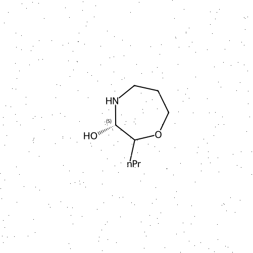 CCCC1OCCCN[C@H]1O